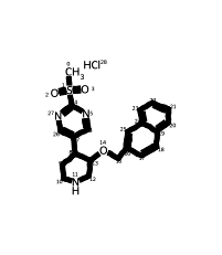 CS(=O)(=O)c1ncc(C2CCNCC2OCc2ccc3ccccc3c2)cn1.Cl